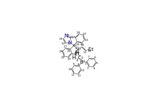 CB(c1ccccc1)c1ccccc1.CCC=C[SiH](CC)C(c1ccccc1)(c1ccccc1)n1ccnc1